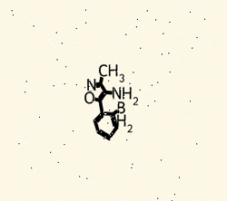 Bc1ccccc1-c1onc(C)c1N